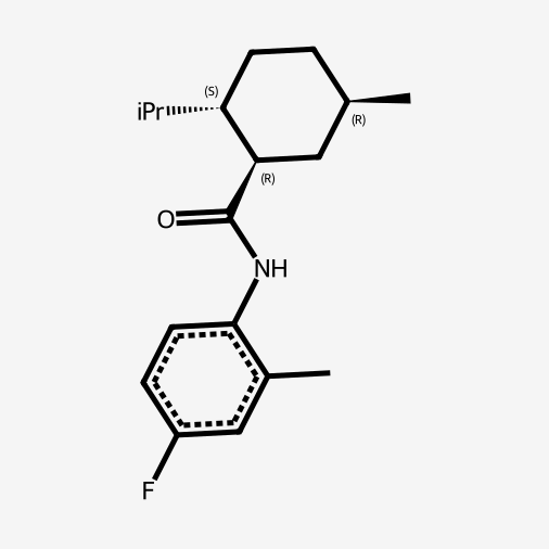 Cc1cc(F)ccc1NC(=O)[C@@H]1C[C@H](C)CC[C@H]1C(C)C